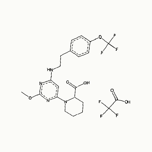 COc1nc(NCCc2ccc(OC(F)(F)F)cc2)cc(N2CCCCC2C(=O)O)n1.O=C(O)C(F)(F)F